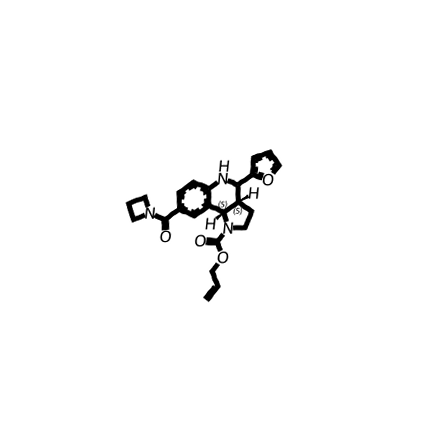 C=CCOC(=O)N1CC[C@H]2C(c3ccco3)Nc3ccc(C(=O)N4CCC4)cc3[C@H]21